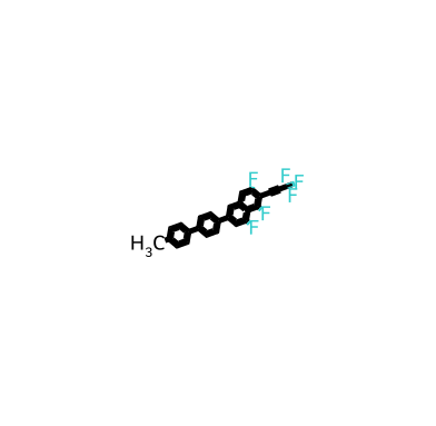 Cc1ccc(-c2ccc(-c3cc(F)c4c(F)c(C#CC(F)(F)F)c(F)cc4c3)cc2)cc1